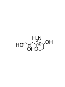 N[C@@H]1C(O)CCOC1C[C@H](O)CO